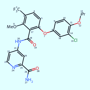 COc1c(C(F)(F)F)ccc(Oc2ccc(OC(C)C)c(Cl)c2)c1C(=O)Nc1ccnc(C(N)=O)c1